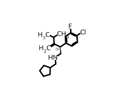 C=C(C(C)C)[C@H](CNCC1CCCC1)c1ccc(Cl)c(F)c1